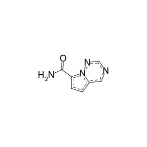 NC(=O)c1ccc2cncnn12